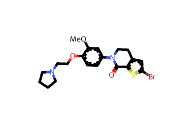 COc1cc(N2CCc3cc(Br)sc3C2=O)ccc1OCCN1CCCC1